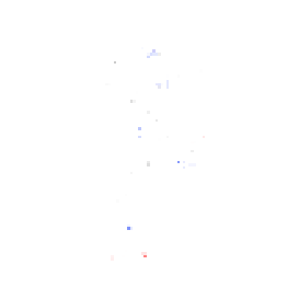 Cc1nc2cccc(-c3cc4c([nH]3)C(CC=CC(C)NC(=O)O)CNC4=O)c2nc1F